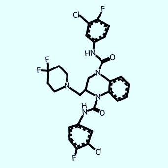 O=C(Nc1ccc(F)c(Cl)c1)N1CC(CN2CCC(F)(F)CC2)N(C(=O)Nc2ccc(F)c(Cl)c2)c2ccccc21